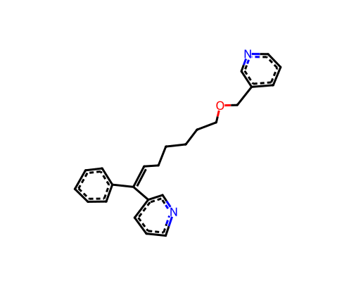 C(CCCCCOCc1cccnc1)=C(c1ccccc1)c1cccnc1